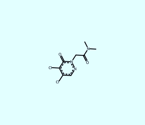 CN(C)C(=O)Cn1ncc(Cl)c(Cl)c1=O